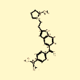 C[C@@H]1CCCN1CCc1cc2cc(C(=O)c3ccc(N(C)C)cc3)ccc2o1